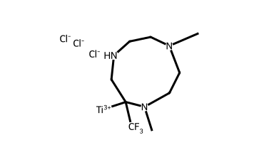 CN1CCNC[C]([Ti+3])(C(F)(F)F)N(C)CC1.[Cl-].[Cl-].[Cl-]